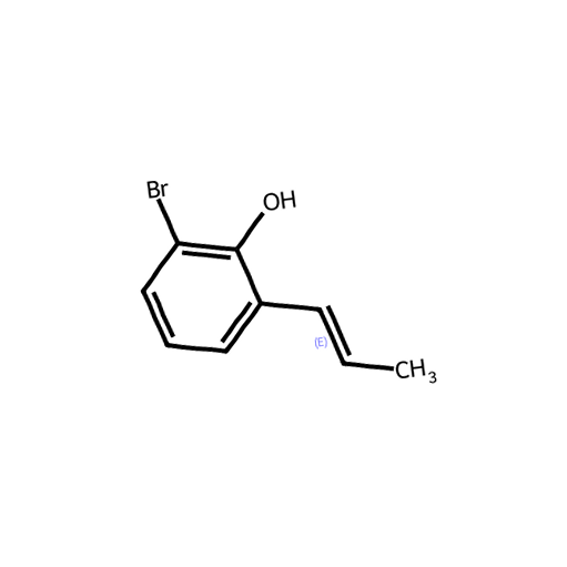 C/C=C/c1cccc(Br)c1O